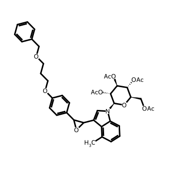 CC(=O)OC[C@H]1O[C@@H](n2cc(C3OC3c3ccc(OCCCOCc4ccccc4)cc3)c3c(C)cccc32)[C@H](OC(C)=O)[C@@H](OC(C)=O)[C@@H]1OC(C)=O